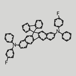 Fc1ccc(N(c2ccccc2)c2ccc3cc4c(cc3c2)C2(c3ccccc3-c3ccccc32)c2cc3cc(N(c5ccccc5)c5ccc(F)cc5)ccc3cc2-4)cc1